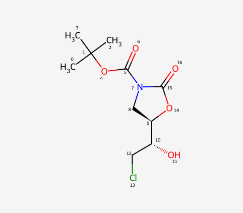 CC(C)(C)OC(=O)N1C[C@H]([C@H](O)CCl)OC1=O